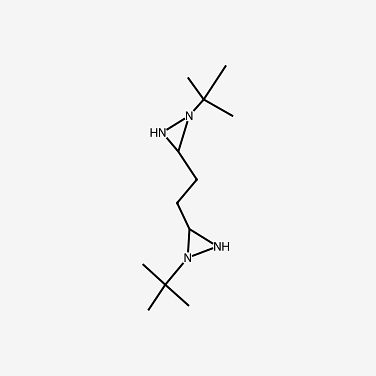 CC(C)(C)N1NC1CCC1NN1C(C)(C)C